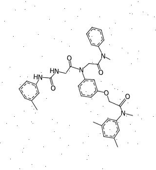 Cc1cccc(NC(=O)NCC(=O)N(CC(=O)N(C)c2ccccc2)c2cccc(OCC(=O)N(C)c3cc(C)cc(C)c3)c2)c1